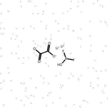 O=C([O-])C(=O)[O-].OB(F)F.[Li+].[Li+]